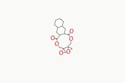 O=C1OCC2(CO2)C2(COC(=O)C3CC4CCCCC4CC13)CO2